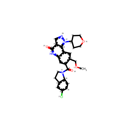 COCc1cc2c(cc1C(=O)N1CCc3cc(Cl)ccc31)[nH]c(=O)c1cnn(C3CCOCC3)c12